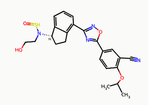 CC(C)Oc1ccc(-c2nc(-c3cccc4c3CC[C@@H]4N(CCO)[SH]=O)no2)cc1C#N